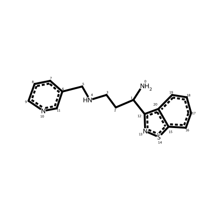 NC(CCNCc1cccnc1)c1nsc2ccccc12